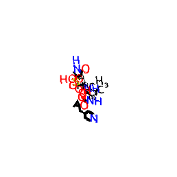 CC(C)C[C@H](NC(=O)OC1(Cc2ccncc2)CC1)C(=O)N[C@@H](C[C@@H]1CCNC1=O)C(O)S(=O)(=O)O